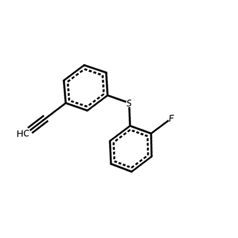 C#Cc1cccc(Sc2ccccc2F)c1